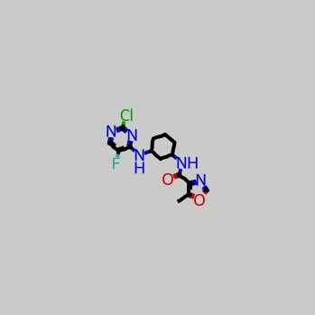 Cc1ocnc1C(=O)NC1CCCC(Nc2nc(Cl)ncc2F)C1